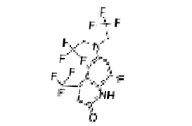 O=c1cc(C(F)(F)F)c2cc(N(CC(F)(F)F)CC(F)(F)F)cc(F)c2[nH]1